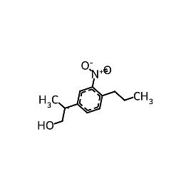 CCCc1ccc([C](C)CO)cc1[N+](=O)[O-]